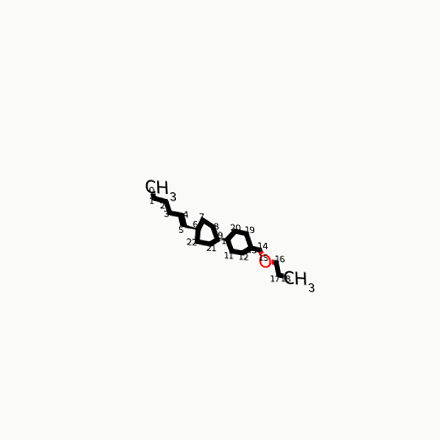 CCCC/C=C/[C@H]1CC[C@H](C2CCC(COCCC)CC2)CC1